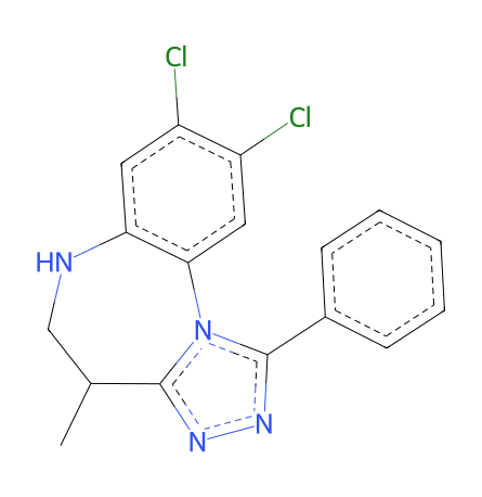 CC1CNc2cc(Cl)c(Cl)cc2-n2c(-c3ccccc3)nnc21